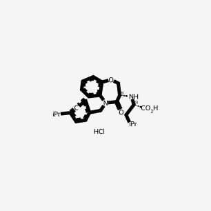 CC(C)C[C@H](N[C@H]1COc2ccccc2N(Cc2ccc(C(C)C)cc2)C1=O)C(=O)O.Cl